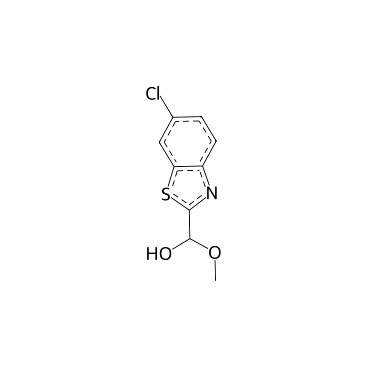 COC(O)c1nc2ccc(Cl)cc2s1